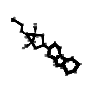 BrCC[C@@H]1[C@H]2CN(c3ccn4c(n3)nc3ccccc34)C[C@@H]12